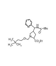 CCOC(=O)C1CC(C(N[S+]([O-])C(C)(C)C)c2ccccn2)CN1COCC[Si](C)(C)C